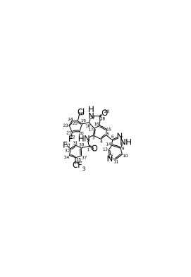 O=C(Nc1cc(-c2n[nH]c3ccncc23)cc2c1C(c1cc(F)ccc1Cl)NC2=O)c1cc(F)cc(C(F)(F)F)c1